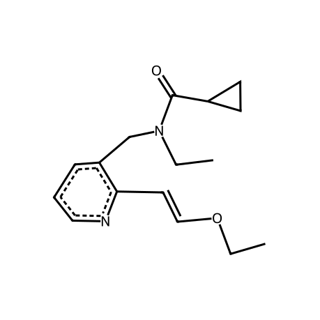 CCOC=Cc1ncccc1CN(CC)C(=O)C1CC1